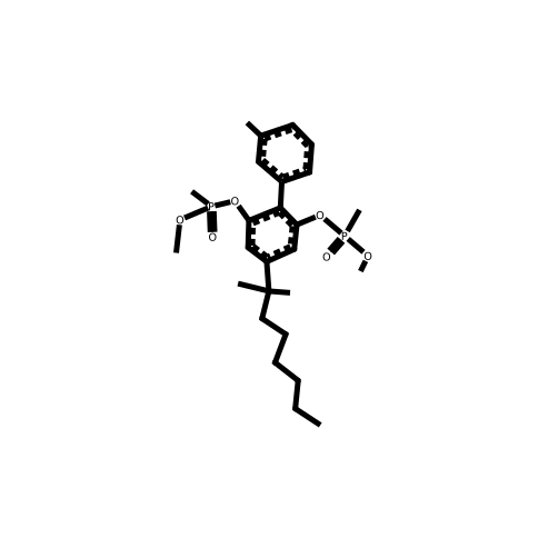 CCCCCCC(C)(C)c1cc(OP(C)(=O)OC)c(-c2cccc(C)c2)c(OP(C)(=O)OC)c1